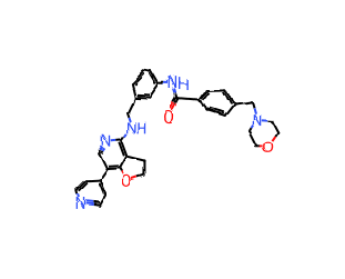 O=C(Nc1cccc(CNc2ncc(-c3ccncc3)c3c2CCO3)c1)c1ccc(CN2CCOCC2)cc1